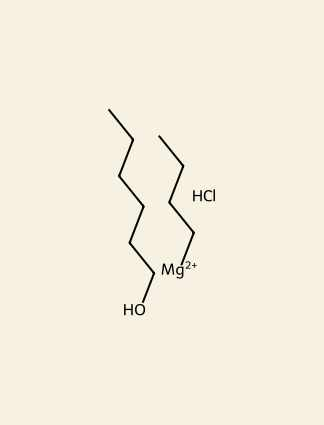 CCCCCCO.CCC[CH2][Mg+2].Cl